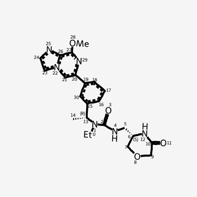 CCN(C(=O)NC[C@H]1COCC(=O)N1)[C@H](C)c1cccc(-c2cn3ccnc3c(OC)n2)c1